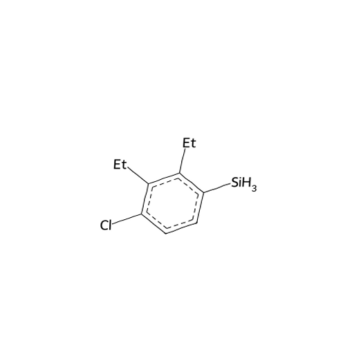 CCc1c([SiH3])ccc(Cl)c1CC